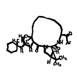 CC(=O)C(=O)[C@@H]1CCCCCCCCCC(C)(C)[C@H](NC(=O)NC2(C)CCCCC2)C(=O)N2C[C@H]3[C@@H]([C@H]2C(=O)N1)C3(C)C